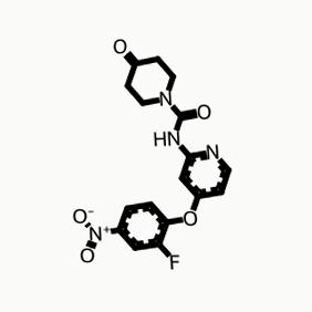 O=C1CCN(C(=O)Nc2cc(Oc3ccc([N+](=O)[O-])cc3F)ccn2)CC1